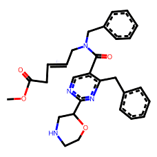 COC(=O)C/C=C/CN(Cc1ccccc1)C(=O)c1cnc(C2CNCCO2)nc1Cc1ccccc1